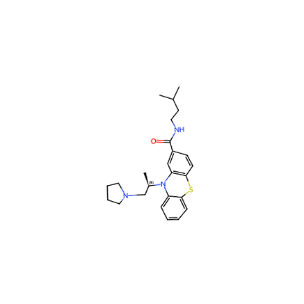 CC(C)CCNC(=O)c1ccc2c(c1)N([C@H](C)CN1CCCC1)c1ccccc1S2